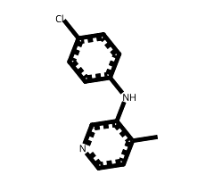 Cc1ccncc1Nc1ccc(Cl)cc1